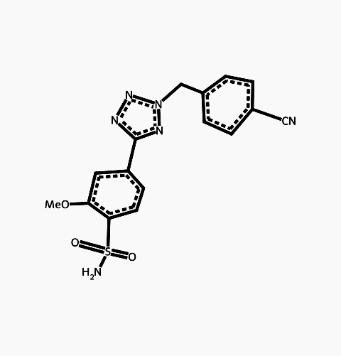 COc1cc(-c2nnn(Cc3ccc(C#N)cc3)n2)ccc1S(N)(=O)=O